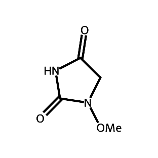 CON1CC(=O)NC1=O